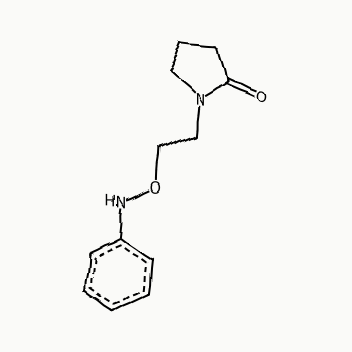 O=C1CCCN1CCONc1ccccc1